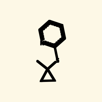 CC1(Sc2ccccn2)CC1